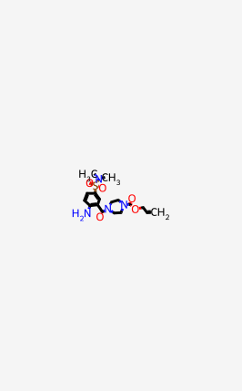 C=CCOC(=O)N1CCN(C(=O)c2cc(S(=O)(=O)N(C)C)ccc2N)CC1